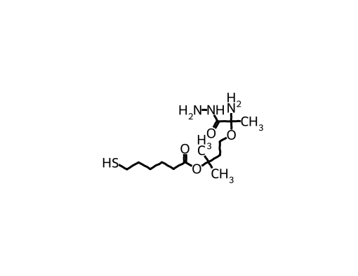 CC(C)(CCOC(C)(N)C(=O)NN)OC(=O)CCCCCS